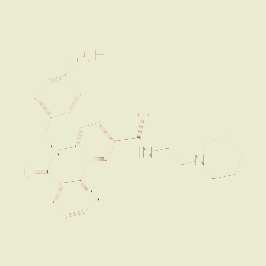 COc1ccc(Cn2c(=O)c3cccnc3c3cc(C(=O)NCCN4CCCCC4)ccc32)cc1